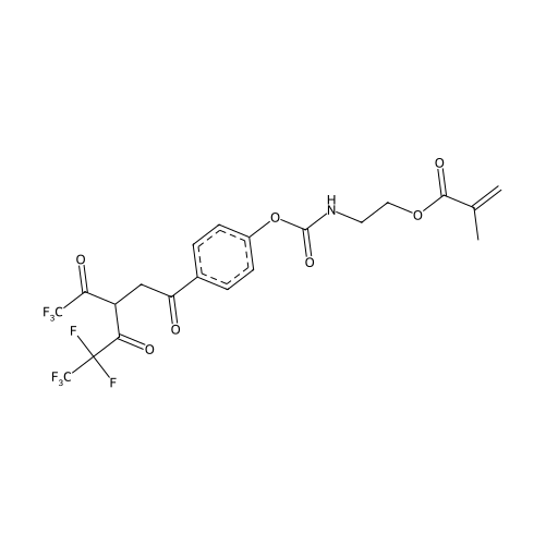 C=C(C)C(=O)OCCNC(=O)Oc1ccc(C(=O)CC(C(=O)C(F)(F)F)C(=O)C(F)(F)C(F)(F)F)cc1